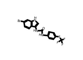 O=C(Nc1ccc(SC(F)(F)F)cc1)Nc1c[nH]c2cc(Br)ccc12